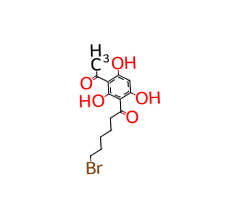 CC(=O)c1c(O)cc(O)c(C(=O)CCCCCBr)c1O